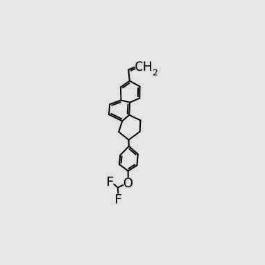 C=Cc1ccc2c3c(ccc2c1)CC(c1ccc(OC(F)F)cc1)CC3